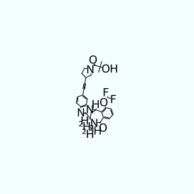 [2H]C([2H])([2H])N1C(=O)c2cccc(OC(F)F)c2[C@H]2C[C@@H]1c1nc3ccc(C#CC4CCN(C(=O)C(C)(C)O)C4)cc3n12